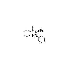 CCCN(NC1CCCCC1)NC1CCCCC1